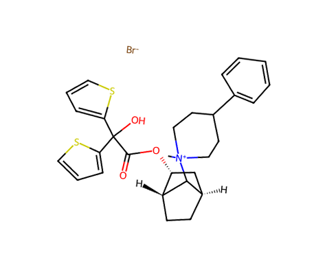 C[N+]1(C2[C@@H]3CC[C@@H]2[C@H](OC(=O)C(O)(c2cccs2)c2cccs2)C3)CCC(c2ccccc2)CC1.[Br-]